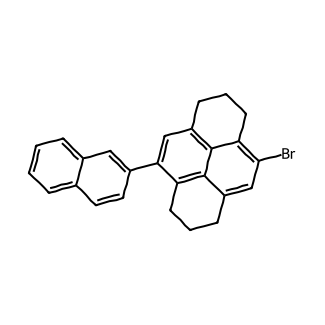 Brc1cc2c3c(c(-c4ccc5ccccc5c4)cc4c3c1CCC4)CCC2